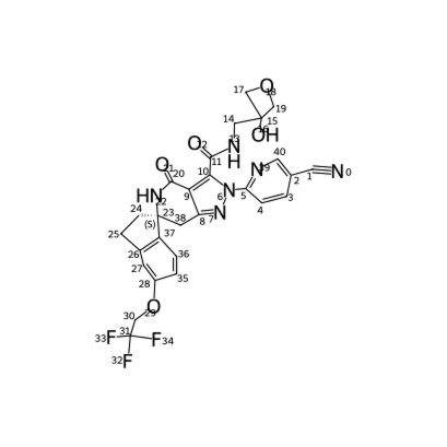 N#Cc1ccc(-n2nc3c(c2C(=O)NCC2(O)COC2)C(=O)N[C@@]2(CCc4cc(OCC(F)(F)F)ccc42)C3)nc1